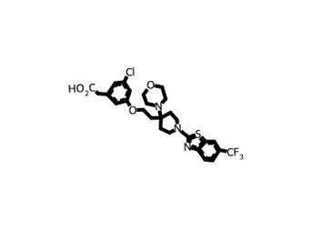 O=C(O)Cc1cc(Cl)cc(OCCC2(N3CCOCC3)CCN(c3nc4ccc(C(F)(F)F)cc4s3)CC2)c1